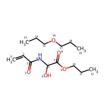 C=CC(=O)NC(O)C(=O)OCCC.CCCOCCC